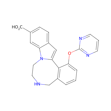 O=C(O)c1ccc2cc3n(c2c1)CCNCc1cccc(Oc2ncccn2)c1-3